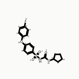 O=C(NS(=O)(=O)c1ccc(Oc2ccc(F)cc2)cc1)OC1CCCC1